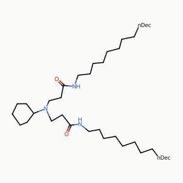 CCCCCCCCCCCCCCCCCCNC(=O)CCN(CCC(=O)NCCCCCCCCCCCCCCCCCC)C1CCCCC1